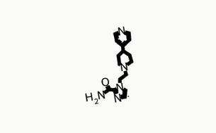 NC(=O)c1n[c]cn1CCN1CCC(c2ccncc2)CC1